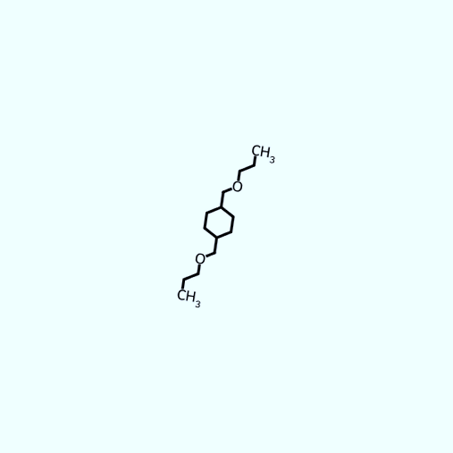 CCCOCC1CCC(COCCC)CC1